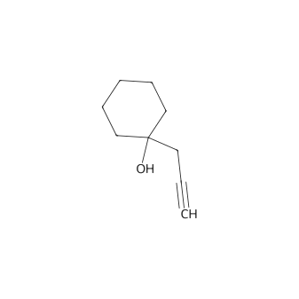 C#CCC1(O)CCCCC1